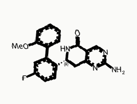 COc1ccccc1-c1cc(F)ccc1[C@H]1Cc2nc(N)ncc2C(=O)N1